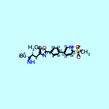 CC[C@@H](C)C(=N)CCc1nc(-c2ccc(-c3ccc(S(C)(=O)=O)nc3)cc2)oc1C